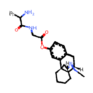 CC(C)C(N)C(=O)NCC(=O)Oc1ccc2c(c1)[C@@]13CCCC[C@H]1[C@@H](C2)N(C)CC3